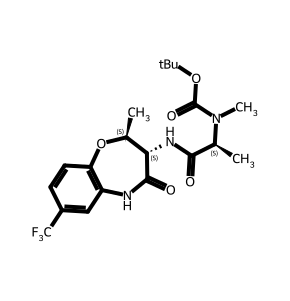 C[C@@H]1Oc2ccc(C(F)(F)F)cc2NC(=O)[C@H]1NC(=O)[C@H](C)N(C)C(=O)OC(C)(C)C